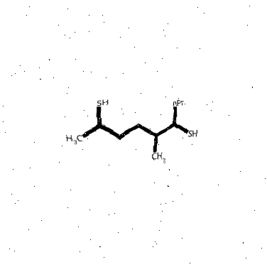 CCCC(S)C(C)CCC(C)S